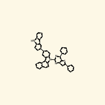 c1ccc(-c2cc3nc(-n4c5ccc(-c6ccc7[nH]c8ccccc8c7c6)cc5c5c6ccccc6ccc54)nc(-c4ccccc4)c3s2)cc1